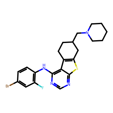 Fc1cc(Br)ccc1Nc1ncnc2sc3c(c12)CCC(CN1CCCCC1)C3